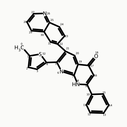 Cc1ccc(-c2nc3[nH]c(-c4ccccc4)cc(=O)c3cc2-c2ccc3ncccc3c2)s1